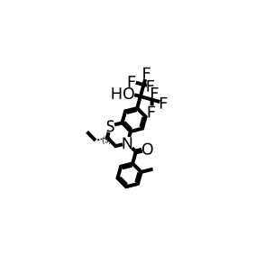 CC[C@H]1CN(C(=O)c2ccccc2C)c2ccc(C(O)(C(F)(F)F)C(F)(F)F)cc2S1